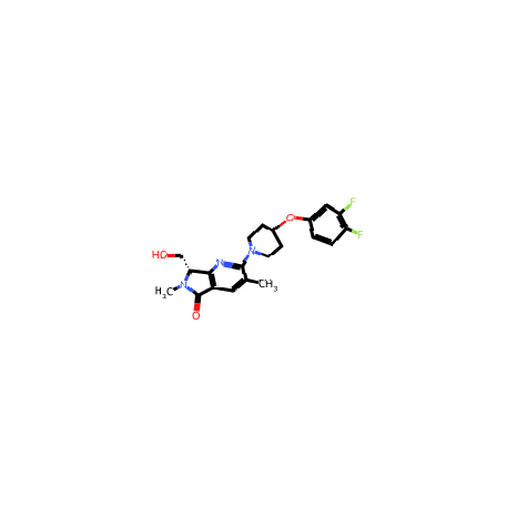 Cc1cc2c(nc1N1CCC(Oc3ccc(F)c(F)c3)CC1)[C@@H](CO)N(C)C2=O